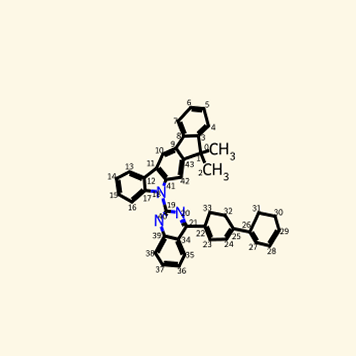 CC1(C)c2ccccc2-c2cc3c4ccccc4n(-c4nc(C5=CC=C(C6=CC=CCC6)CC5)c5ccccc5n4)c3cc21